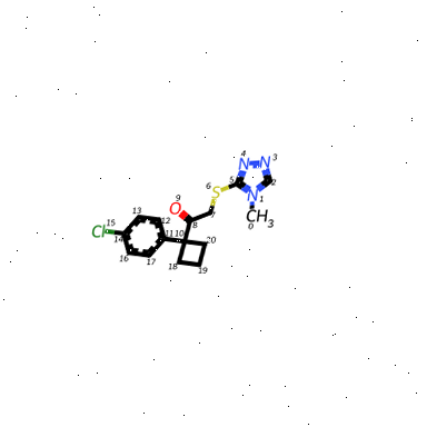 Cn1cnnc1SCC(=O)C1(c2ccc(Cl)cc2)CCC1